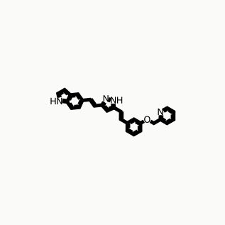 C(=Cc1cc(C=Cc2ccc3[nH]ccc3c2)n[nH]1)c1cccc(OCc2ccccn2)c1